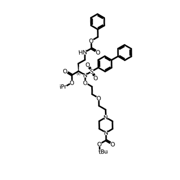 CC(C)OC(=O)[C@@H](CCNC(=O)OCc1ccccc1)N(OCCOCCN1CCN(C(=O)OC(C)(C)C)CC1)S(=O)(=O)c1ccc(-c2ccccc2)cc1